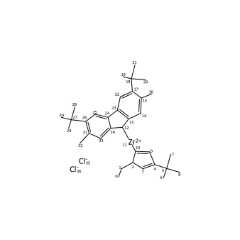 CCC1C=C(C(C)(C)C)C=[C]1[Zr+2][CH]1c2cc(C)c(C(C)(C)C)cc2-c2cc(C(C)(C)C)c(C)cc21.[Cl-].[Cl-]